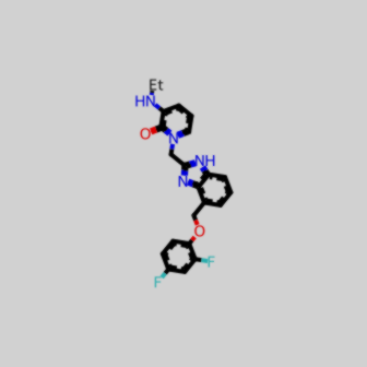 CCNc1cccn(Cc2nc3c(COc4ccc(F)cc4F)cccc3[nH]2)c1=O